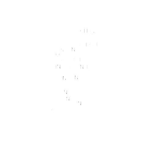 CC(C)(Cc1csc([C@]2(C)C(=O)Nc3nc(-c4nn(CC5CCCCO5)c5ncccc45)nc(N)c32)n1)C(=O)O